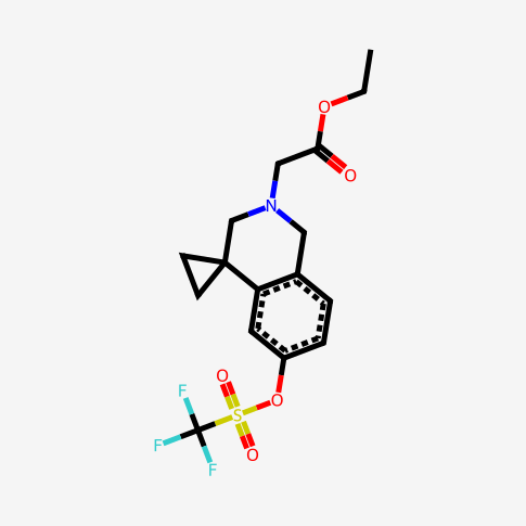 CCOC(=O)CN1Cc2ccc(OS(=O)(=O)C(F)(F)F)cc2C2(CC2)C1